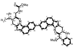 CCCN(Cc1nc2ccc3cc(-c4ccc5c(ccc6nc(CN(C(=O)CNC(=O)OC)[C@H](C)C(C)C)[nH]c65)c4)ccc3c2[nH]1)C(=O)[C@H](NC)c1ccccc1